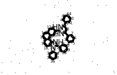 C1=C(c2ccccc2)NC(c2ccc3ccc4ccc5c(c4c3c2)NC(c2ccccc2)N5c2ccccc2)NC1c1ccccc1